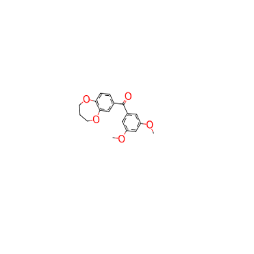 COc1cc(OC)cc(C(=O)c2ccc3c(c2)OCCCO3)c1